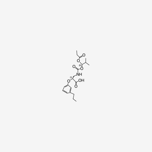 CCCc1cccc(O[C@@H](CNC(=O)O[C@@H](OC(=O)CC)C(C)C)C(=O)O)c1